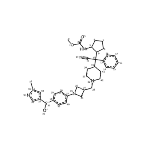 COC(=O)NC1CCCC1C(C#N)(c1ccccc1)C1CCN(CC2CN(c3ccc([S+]([O-])c4cnn(C)c4)cc3)C2)CC1